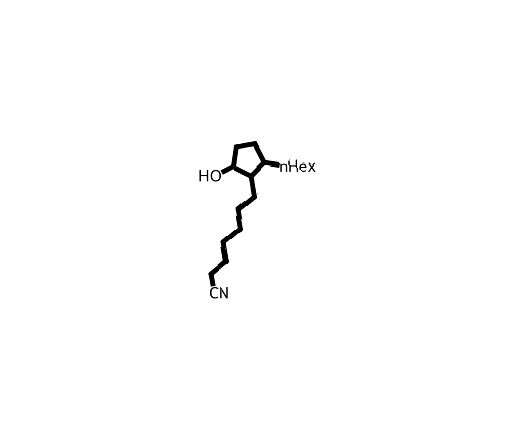 CCCCCCC1CCC(O)C1CCCCCCC#N